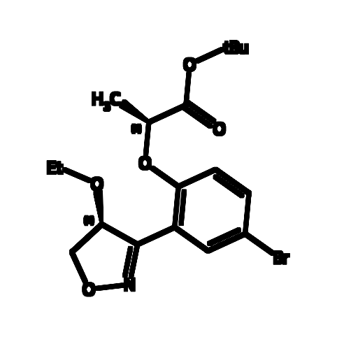 CCO[C@@H]1CON=C1c1cc(Br)ccc1O[C@@H](C)C(=O)OC(C)(C)C